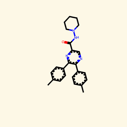 Cc1ccc(-c2ncc(C(=O)NN3CCCCC3)nc2-c2ccc(C)cc2)cc1